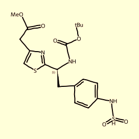 COC(=O)Cc1csc([C@H](Cc2ccc(N[SH](=O)=O)cc2)NC(=O)OC(C)(C)C)n1